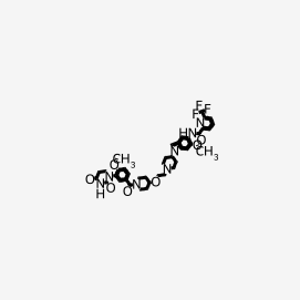 COc1cc2c(cc1NC(=O)c1cccc(C(F)(F)F)n1)=C[N+]=2C1CCN(CCOC2CCN(C(=O)c3ccc(OC)c(N4CCC(=O)NC4=O)c3)CC2)CC1